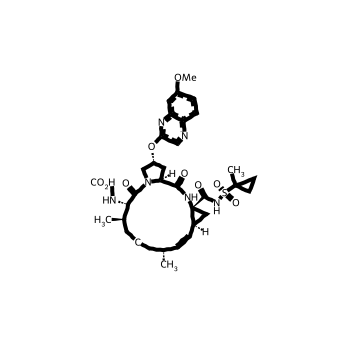 COc1ccc2ncc(O[C@@H]3C[C@H]4C(=O)N[C@]5(C(=O)NS(=O)(=O)C6(C)CC6)C[C@H]5/C=C\[C@H](C)CCC[C@@H](C)[C@H](NC(=O)O)C(=O)N4C3)nc2c1